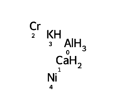 [AlH3].[CaH2].[Cr].[KH].[Ni]